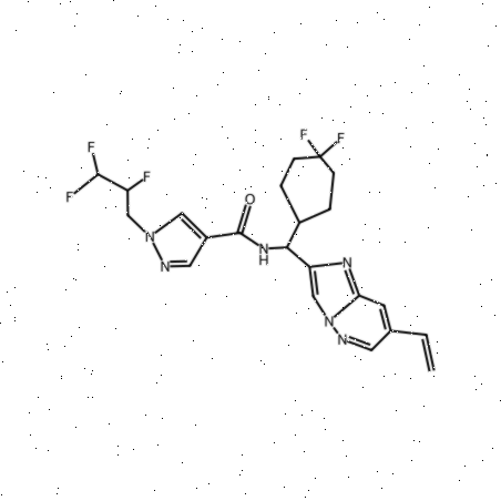 C=Cc1cnn2cc(C(NC(=O)c3cnn(CC(F)C(F)F)c3)C3CCC(F)(F)CC3)nc2c1